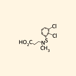 CN(CCC(=O)O)Sc1cccc(Cl)c1Cl